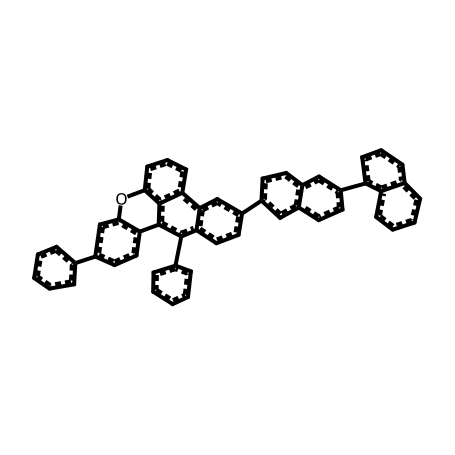 c1ccc(-c2ccc3c(c2)Oc2cccc4c2c-3c(-c2ccccc2)c2ccc(-c3ccc5cc(-c6cccc7ccccc67)ccc5c3)cc24)cc1